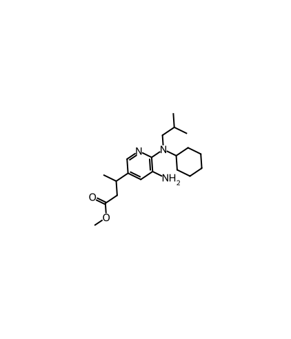 COC(=O)CC(C)c1cnc(N(CC(C)C)C2CCCCC2)c(N)c1